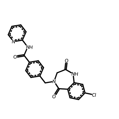 O=C1CN(Cc2ccc(C(=O)Nc3ccccn3)cc2)C(=O)c2ccc(Cl)cc2N1